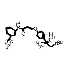 CC(C)OC(=O)c1cccc(NC(=O)CCOc2ccc(C(C)(C)CC(C)(C)C)cc2)c1